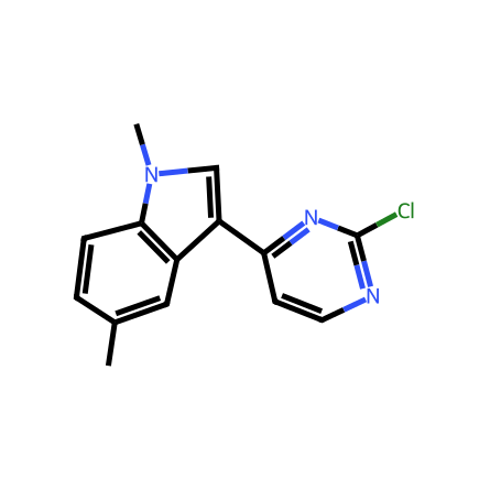 Cc1ccc2c(c1)c(-c1ccnc(Cl)n1)cn2C